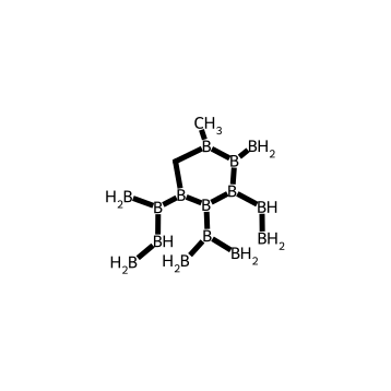 BBB(B)B1CB(C)B(B)B(BB)B1B(B)B